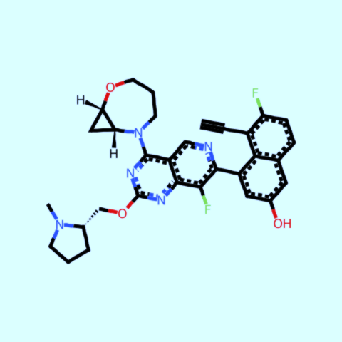 C#Cc1c(F)ccc2cc(O)cc(-c3ncc4c(N5CCCO[C@H]6C[C@H]65)nc(OC[C@@H]5CCCN5C)nc4c3F)c12